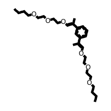 CCCCOCCOCCOC=C(C)c1cccc(C(C)=COCCOCCOCCCC)c1